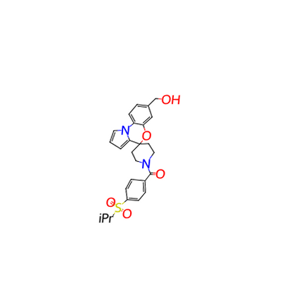 CC(C)S(=O)(=O)c1ccc(C(=O)N2CCC3(CC2)Oc2cc(CO)ccc2-n2cccc23)cc1